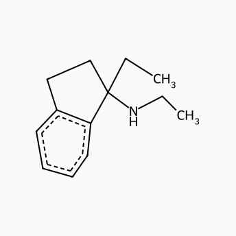 CCNC1(CC)CCc2ccccc21